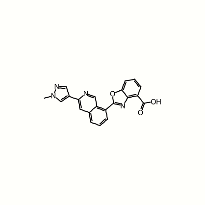 Cn1cc(-c2cc3cccc(-c4nc5c(C(=O)O)cccc5o4)c3cn2)cn1